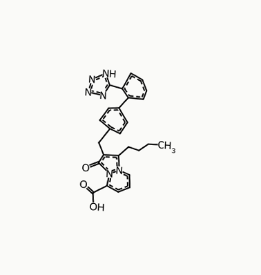 CCCCc1c(Cc2ccc(-c3ccccc3-c3nnn[nH]3)cc2)c(=O)n2c(C(=O)O)cccn12